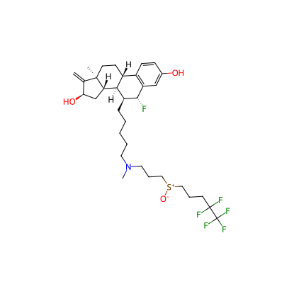 C=C1[C@H](O)C[C@H]2[C@@H]3[C@H](CCCCCN(C)CCC[S+]([O-])CCCC(F)(F)C(F)(F)F)[C@@H](F)c4cc(O)ccc4[C@H]3CC[C@]12C